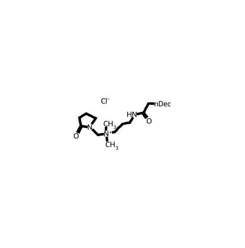 CCCCCCCCCCCC(=O)NCCC[N+](C)(C)CN1CCCC1=O.[Cl-]